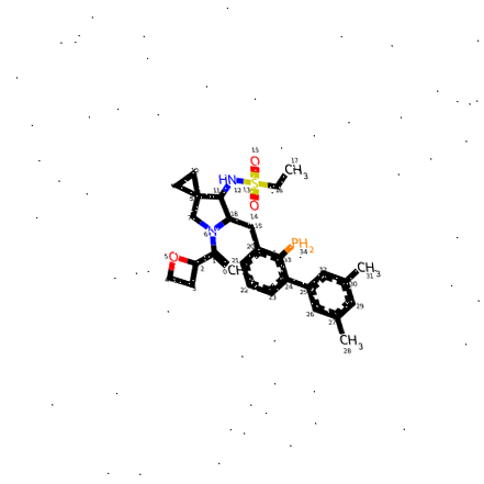 C=C(C1CCO1)N1CC2(CC2)C(NS(=O)(=O)CC)C1Cc1cccc(-c2cc(C)cc(C)c2)c1P